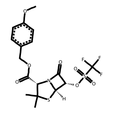 COc1ccc(COC(=O)[C@@H]2N3C(=O)[C@H](OS(=O)(=O)C(F)(F)F)[C@H]3SC2(C)C)cc1